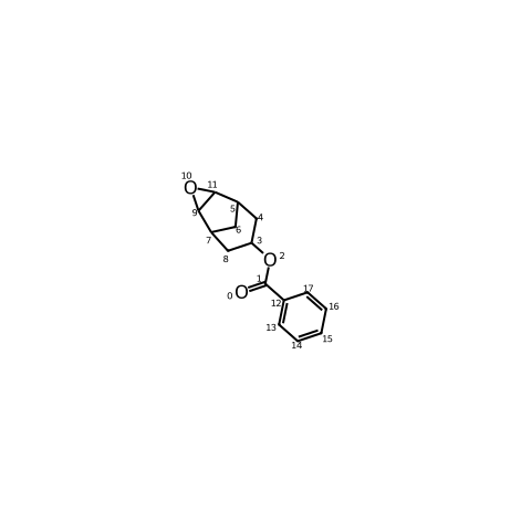 O=C(OC1CC2CC(C1)C1OC21)c1ccccc1